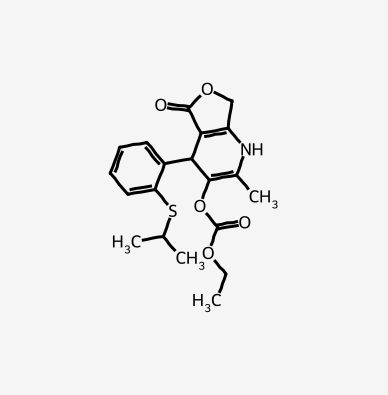 CCOC(=O)OC1=C(C)NC2=C(C(=O)OC2)C1c1ccccc1SC(C)C